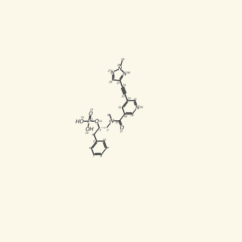 CN(C[C@H](Cc1ccccc1)OP(=O)(O)O)C(=O)c1cncc(C#Cc2cnn(C)n2)c1